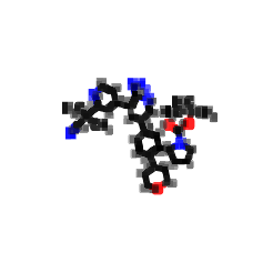 CC(C)(C)OC(=O)N1CCC[C@H]1c1cc(-c2cnc(N)c(-c3ccnc(C(C)(C)C#N)c3)c2)ccc1C1CCOCC1